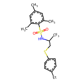 CCc1ccc(SCC(NS(=O)(=O)c2c(C)cc(C)cc2C)C(F)(F)F)cc1